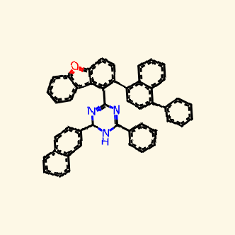 c1ccc(C2=NC(c3c(-c4ccc(-c5ccccc5)c5ccccc45)ccc4oc5ccccc5c34)=NC(c3ccc4ccccc4c3)N2)cc1